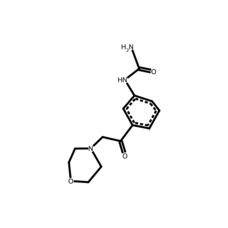 NC(=O)Nc1cc[c]c(C(=O)CN2CCOCC2)c1